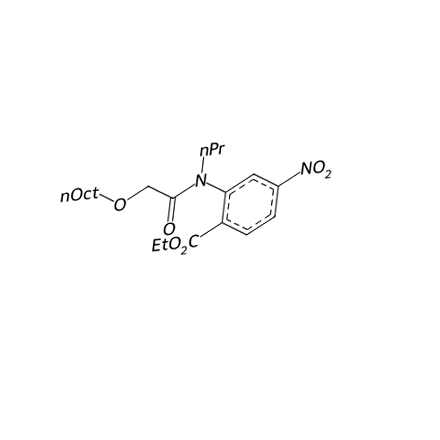 CCCCCCCCOCC(=O)N(CCC)c1cc([N+](=O)[O-])ccc1C(=O)OCC